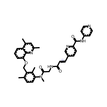 Cc1cc(C)c2cccc(OCc3c(C)ccc(N(C)C(=O)CNC(=O)/C=C/c4ccc(C(=O)Nc5ccncc5)nc4)c3C)c2n1